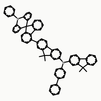 CC1(C)c2ccccc2-c2ccc(N(c3ccc(-c4ccccc4)cc3)c3ccc4c(c3)C(C)(C)c3cc(-c5cccc6c5-c5ccccc5C65c6ccccc6N(c6ccccc6)c6ccccc65)ccc3-4)cc21